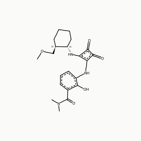 COC[C@H]1CCCC[C@@H]1Nc1c(Nc2cccc(C(=O)N(C)C)c2O)c(=O)c1=O